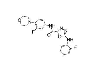 O=C(Nc1ccc(N2CCOCC2)c(F)c1)c1nnc(Nc2ccccc2F)o1